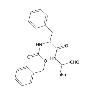 CCCCC([C]=O)NC(=O)C(Cc1ccccc1)NC(=O)OCc1ccccc1